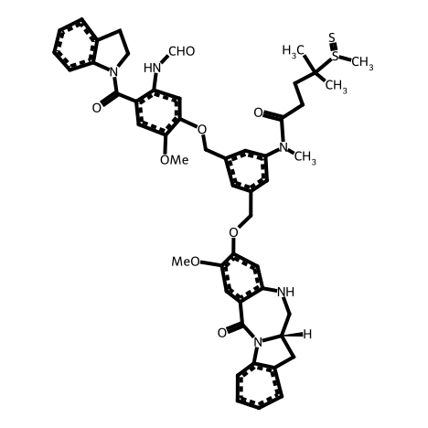 COc1cc(C(=O)N2CCc3ccccc32)c(NC=O)cc1OCc1cc(COc2cc3c(cc2OC)C(=O)N2c4ccccc4C[C@H]2CN3)cc(N(C)C(=O)CCC(C)(C)S(C)=S)c1